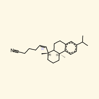 CC(C)c1ccc2c(c1)CCC1[C@@](C)(/C=C\CCCC#N)CCC[C@]21C